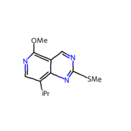 COc1ncc(C(C)C)c2nc(SC)ncc12